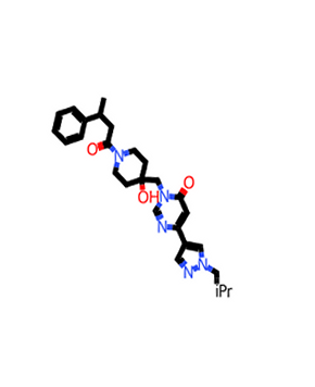 CC(C)Cn1cc(-c2cc(=O)n(CC3(O)CCN(C(=O)CC(C)c4ccccc4)CC3)cn2)cn1